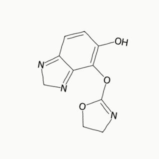 Oc1ccc2c(c1OC1=NCCO1)=NCN=2